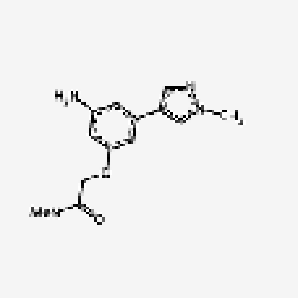 CNC(=O)COc1cc(N)cc(-c2cnn(C)c2)c1